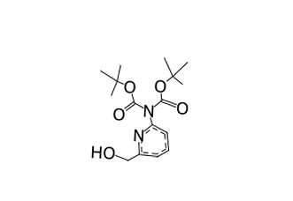 CC(C)(C)OC(=O)N(C(=O)OC(C)(C)C)c1cccc(CO)n1